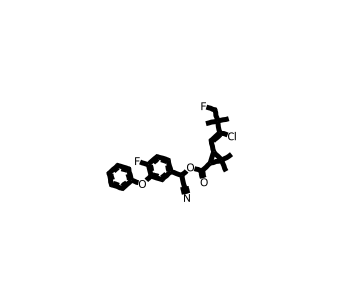 CC(C)(CF)/C(Cl)=C/C1C(C(=O)OC(C#N)c2ccc(F)c(Oc3ccccc3)c2)C1(C)C